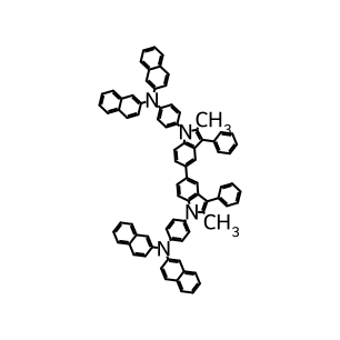 Cc1c(-c2ccccc2)c2cc(-c3ccc4c(c3)c(-c3ccccc3)c(C)n4-c3ccc(N(c4ccc5ccccc5c4)c4ccc5ccccc5c4)cc3)ccc2n1-c1ccc(N(c2ccc3ccccc3c2)c2ccc3ccccc3c2)cc1